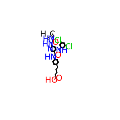 CCNC(=O)Nc1cc(Nc2cc(Cl)cc(Cl)c2)c(C(=O)Nc2ccc(CCCCC(=O)O)cc2)cn1